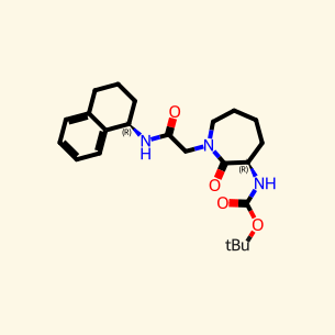 CC(C)(C)OC(=O)N[C@@H]1CCCCN(CC(=O)N[C@@H]2CCCc3ccccc32)C1=O